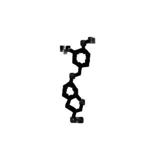 CCOc1ccc(COc2ccc3c(c2)OCC(C=O)=C3)cc1C(F)(F)F